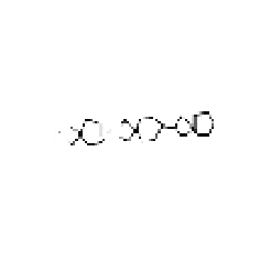 C1CCC2(CC1)CC(C1CCC3(CC1)CN(N1CCC4(CC1)CNC4)C3)C2